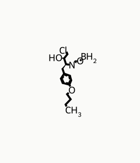 BOC=N[C@@H](Cc1ccc(OCCCC)cc1)[C@@H](O)CCl